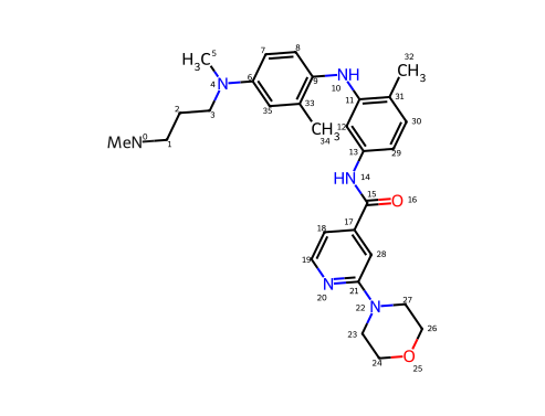 CNCCCN(C)c1ccc(Nc2cc(NC(=O)c3ccnc(N4CCOCC4)c3)ccc2C)c(C)c1